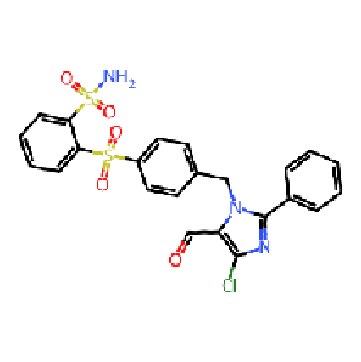 NS(=O)(=O)c1ccccc1S(=O)(=O)c1ccc(Cn2c(-c3ccccc3)nc(Cl)c2C=O)cc1